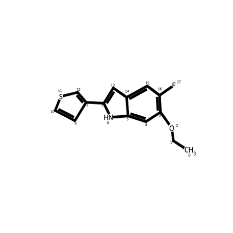 CCOc1cc2[nH]c(-c3ccsc3)cc2cc1F